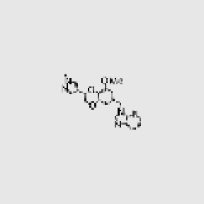 COc1cc(Cn2cnc3cccnc32)cc2c1OC(c1cnn(C)c1)CO2